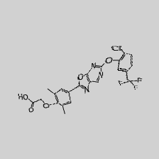 Cc1cc(-c2nc3cnc(Oc4cc(C(F)(F)F)ccc4Cl)nc3o2)cc(C)c1OCC(=O)O